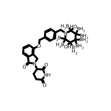 BC1(B)N(Cc2ccc(COc3cccc4c3CN(C3CCC(=O)NC3=O)C4=O)cc2)C(B)(O)C(B)(B)C(B)(B)C1(B)O